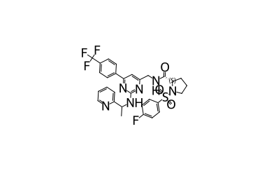 CC(Nc1nc(CNC(=O)[C@@H]2CCCN2S(=O)(=O)c2ccc(F)cc2)cc(-c2ccc(C(F)(F)F)cc2)n1)c1ccccn1